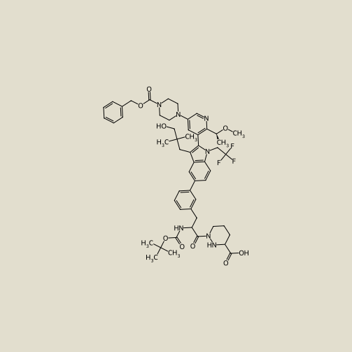 CO[C@@H](C)c1ncc(N2CCN(C(=O)OCc3ccccc3)CC2)cc1-c1c(CC(C)(C)CO)c2cc(-c3cccc(CC(NC(=O)OC(C)(C)C)C(=O)N4CCCC(C(=O)O)N4)c3)ccc2n1CC(F)(F)F